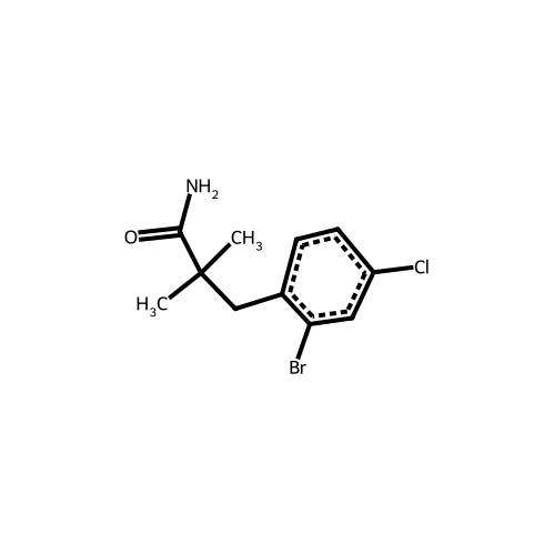 CC(C)(Cc1ccc(Cl)cc1Br)C(N)=O